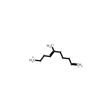 C=CCCCC(C)=CCCC